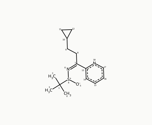 CC(C)(C)[S+]([O-])/N=C(/CCC1CC1)c1ccccn1